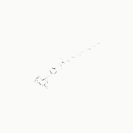 CCCOCCOCCOCCOCCC(=O)NCc1ccc(COc2nc(N)nc3[nH]cnc23)cc1